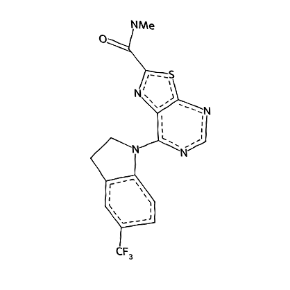 CNC(=O)c1nc2c(N3CCc4cc(C(F)(F)F)ccc43)ncnc2s1